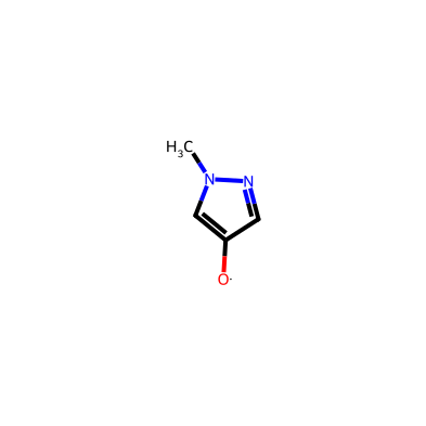 Cn1cc([O])cn1